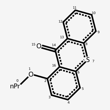 CCCOc1cccc2sc3ccccc3c(=O)c12